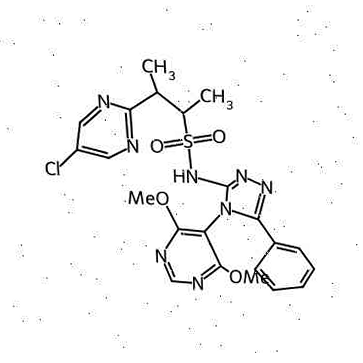 COc1ncnc(OC)c1-n1c(NS(=O)(=O)C(C)C(C)c2ncc(Cl)cn2)nnc1-c1ccccc1